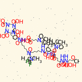 CC(=O)CCC(NC(=O)NC(CCCCNC(=O)c1cc(C(=O)NCCCCCC(=O)N(CCCCCCC(=O)Nc2ccc(CC3CN(CC(=O)O)CCN(CC(=O)O)CCN(CC(=O)O)CCN3CC(=O)O)cc2)CC[N+](C)(C)CB(F)F)cc(C2=C(/C=C/C3=[N+](CCCCS(=O)(=O)O)c4ccccc4C3(C)C)CCC/C2=C\C=C2\N(CCCCS(=O)(=O)O)c3ccccc3C2(C)C)c1)C(=O)O)C(=O)O